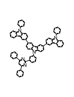 c1ccc(-c2cc(-c3ccccc3)nc(-c3cccc(-n4c5ccc(-c6ccc7c(c6)c6ccccc6n7-c6ccccc6)cc5c5cc(-c6ccc7c(c6)c6ccccc6n7-c6ccccc6)ccc54)c3)n2)cc1